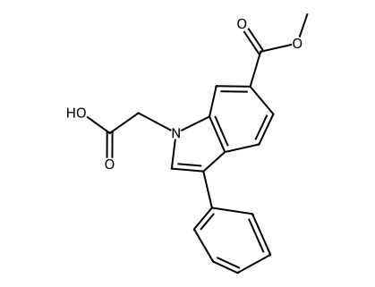 COC(=O)c1ccc2c(-c3ccccc3)cn(CC(=O)O)c2c1